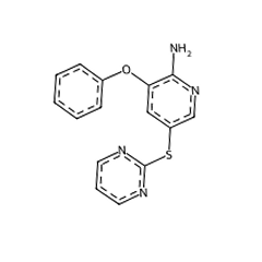 Nc1ncc(Sc2ncccn2)cc1Oc1ccccc1